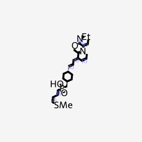 C\C=C/C(=C\C=C\[C@H]1CC[C@H](CP(=O)(O)/C=C/C=C\SC)CC1)C1=NC(=C/C)/C(=N\CC)OC1